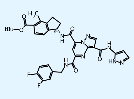 Cc1c(C(=O)OC(C)(C)C)ccc2c1CC[C@@H]2NC(=O)c1cc(C(=O)NCc2ccc(F)c(F)c2)nc2c(C(=O)Nc3ccn[nH]3)cnn12